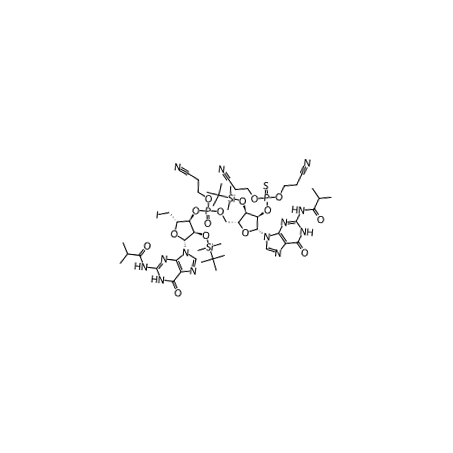 CC(C)C(=O)Nc1nc2c(ncn2[C@@H]2O[C@H](COP(=O)(OCCC#N)O[C@H]3[C@@H](O[Si](C)(C)C(C)(C)C)[C@H](n4cnc5c(=O)[nH]c(NC(=O)C(C)C)nc54)O[C@@H]3CI)[C@@H](O[Si](C)(C)C(C)(C)C)[C@H]2OP(=S)(OCCC#N)OCCC#N)c(=O)[nH]1